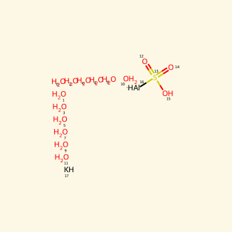 O.O.O.O.O.O.O.O.O.O.O.O.O=[S](=O)(O)[AlH].[KH]